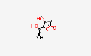 C#C[C@@H](O)[C@H]1O[C@H](O)C[C@@H]1O